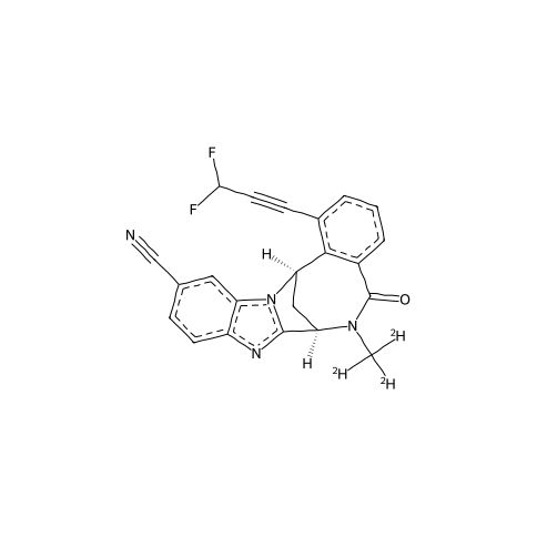 [2H]C([2H])([2H])N1C(=O)c2cccc(C#CC(F)F)c2[C@H]2C[C@@H]1c1nc3ccc(C#N)cc3n12